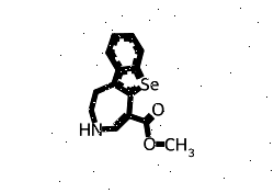 COC(=O)C1=CNCCc2c1[se]c1ccccc21